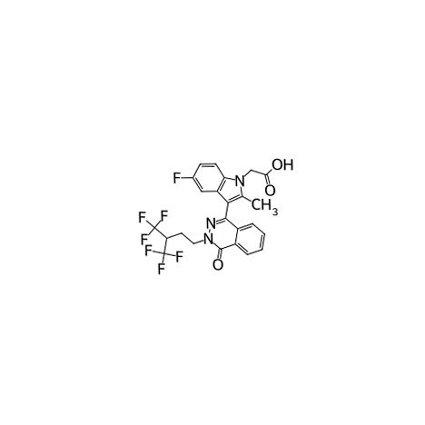 Cc1c(-c2nn(CCC(C(F)(F)F)C(F)(F)F)c(=O)c3ccccc23)c2cc(F)ccc2n1CC(=O)O